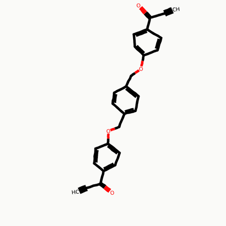 C#CC(=O)c1ccc(OCc2ccc(COc3ccc(C(=O)C#C)cc3)cc2)cc1